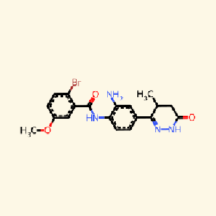 COc1ccc(Br)c(C(=O)Nc2ccc(C3=NNC(=O)CC3C)cc2N)c1